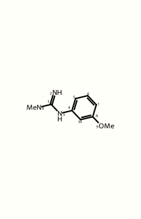 CNC(=N)Nc1cccc(OC)c1